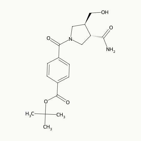 CC(C)(C)OC(=O)c1ccc(C(=O)N2C[C@@H](CO)[C@H](C(N)=O)C2)cc1